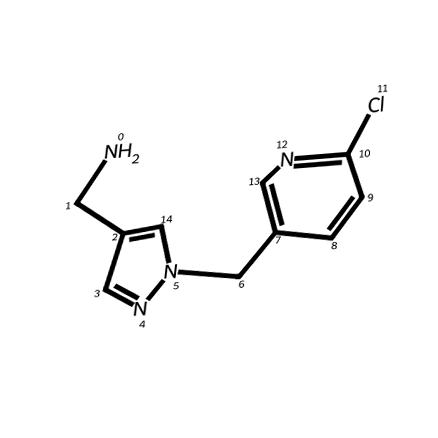 NCc1cnn(Cc2ccc(Cl)nc2)c1